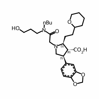 CCCCN(CCCO)C(=O)CN1C[C@H](c2ccc3c(c2)OCO3)[C@@H](C(=O)O)[C@@H]1CCC1CCCCO1